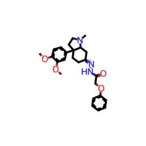 COc1ccc(C23CC/C(=N\NC(=O)COc4ccccc4)CC2N(C)CC3)cc1OC